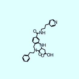 O=C(O)CC1Nc2cc(C(=O)NCCCc3ccncc3)ccc2CN(CCc2ccccc2)C1=O